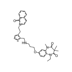 CCN1C(=O)C(C)(C)C(=O)N(C)c2cc(OCCCNCc3sccc3CCn3ccc4ccccc4c3=O)ccc21